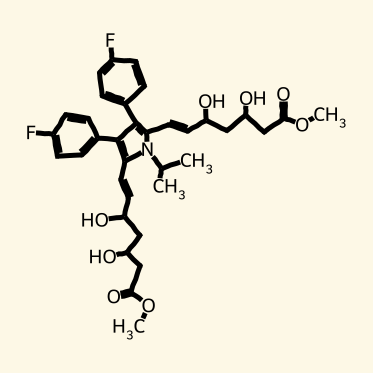 COC(=O)CC(O)CC(O)C=Cc1c(-c2ccc(F)cc2)c(-c2ccc(F)cc2)c(C=CC(O)CC(O)CC(=O)OC)n1C(C)C